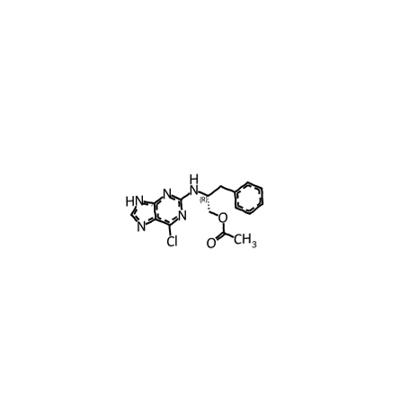 CC(=O)OC[C@@H](Cc1ccccc1)Nc1nc(Cl)c2nc[nH]c2n1